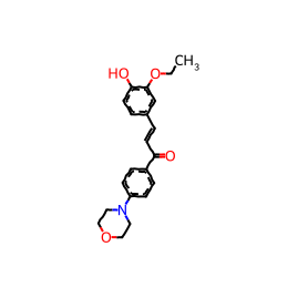 CCOc1cc(C=CC(=O)c2ccc(N3CCOCC3)cc2)ccc1O